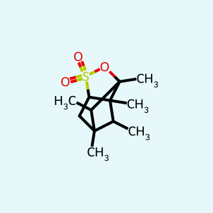 CC1C2(C)CC3C(C)(C2C)C1(C)OS3(=O)=O